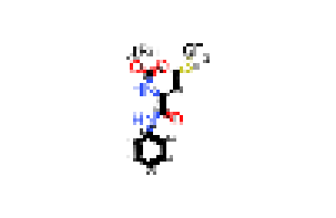 CC(C)(C)OC(=O)N[C@@H](CCSC(F)(F)F)C(=O)Nc1ccccc1